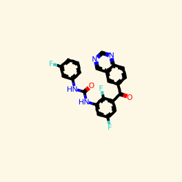 O=C(Nc1cccc(F)c1)Nc1cc(F)cc(C(=O)c2ccc3ncncc3c2)c1F